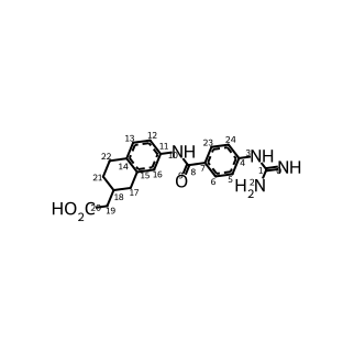 N=C(N)Nc1ccc(C(=O)Nc2ccc3c(c2)CC(CC(=O)O)CC3)cc1